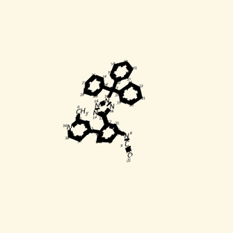 Cc1cc(-c2ccc(N=C=O)cc2-c2nnn(C(c3ccccc3)(c3ccccc3)c3ccccc3)n2)ccn1